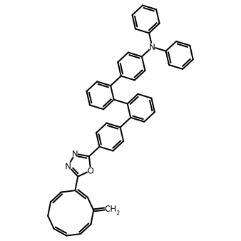 C=C1/C=C\C=C/C/C=C\C(c2nnc(-c3ccc(-c4ccccc4-c4ccccc4-c4ccc(N(c5ccccc5)c5ccccc5)cc4)cc3)o2)=C/1